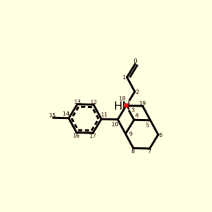 C=CCNC1C2CCCC1C(c1ccc(C)cc1)CC2